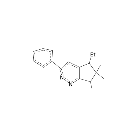 CCC1c2cc(-c3ccccc3)nnc2C(C)C1(C)C